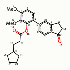 COc1ccc(-c2ccc3c(c2)CCC3=O)c(OC(=O)CCC2CCCC2)c1OC